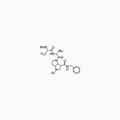 CNC(C)C(=O)NC(C(=O)N1CCC2C1C(C(=O)NCc1ccccc1)CN2C(C)=O)C(C)(C)C